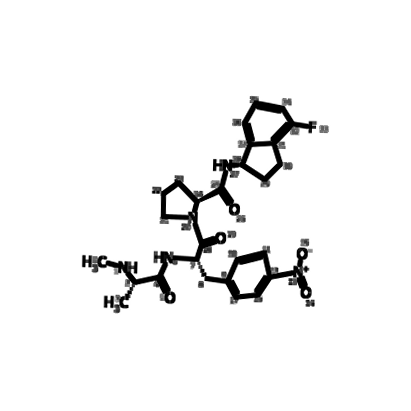 CN[C@@H](C)C(=O)N[C@@H](Cc1ccc([N+](=O)[O-])cc1)C(=O)N1CCC[C@H]1C(=O)N[C@@H]1CCc2c(F)cccc21